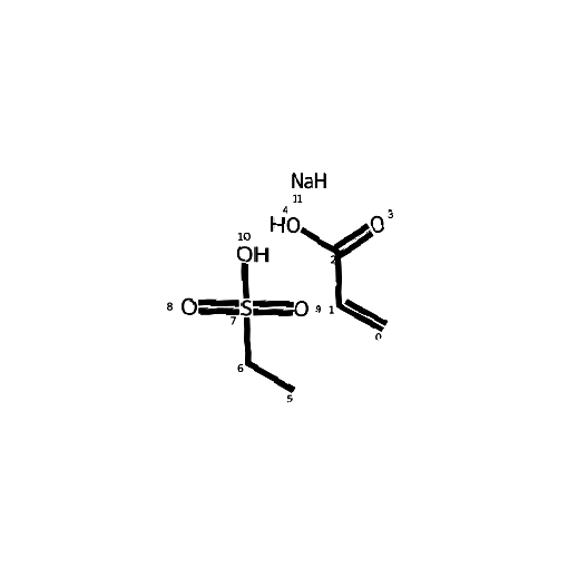 C=CC(=O)O.CCS(=O)(=O)O.[NaH]